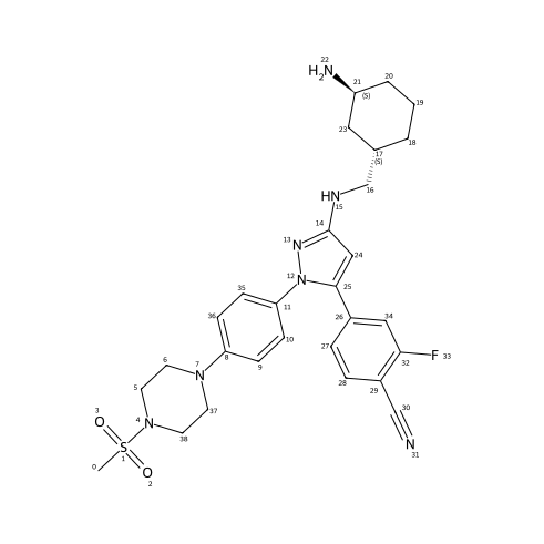 CS(=O)(=O)N1CCN(c2ccc(-n3nc(NC[C@H]4CCC[C@H](N)C4)cc3-c3ccc(C#N)c(F)c3)cc2)CC1